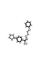 CCC(=NOCCOc1c[c]ccc1)c1ccc(N2CCCC2)cc1